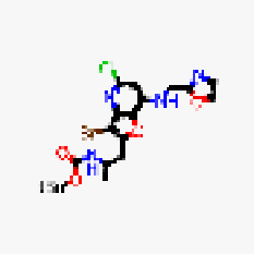 CC(Cc1oc2c(NCc3ncco3)cc(Cl)nc2c1Br)NC(=O)OC(C)(C)C